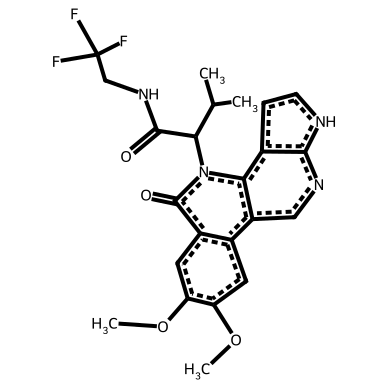 COc1cc2c(=O)n(C(C(=O)NCC(F)(F)F)C(C)C)c3c4cc[nH]c4ncc3c2cc1OC